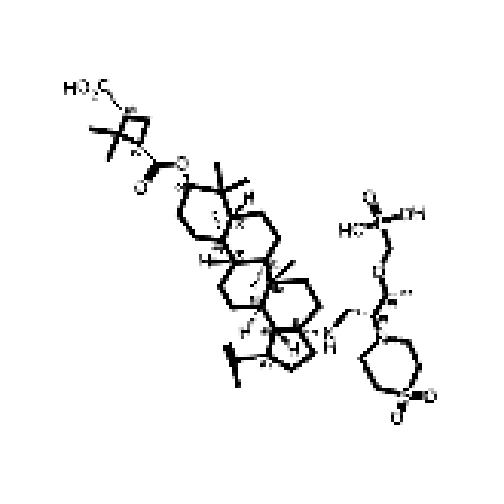 C=C(C)[C@@H]1CC[C@]2(NC[C@H]([C@@H](C)OCP(=O)(O)O)N3CCS(=O)(=O)CC3)CC[C@]3(C)[C@H](CC[C@@H]4[C@@]5(C)CC[C@H](OC(=O)[C@H]6C[C@@H](C(=O)O)C6(C)C)C(C)(C)[C@@H]5CC[C@]43C)[C@@H]12